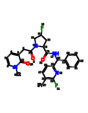 CCn1cccc(CC(=O)N2CC(F)CC2C(=O)NC(c2ccccc2)c2ccc(C(C)C)c(F)n2)c1=O